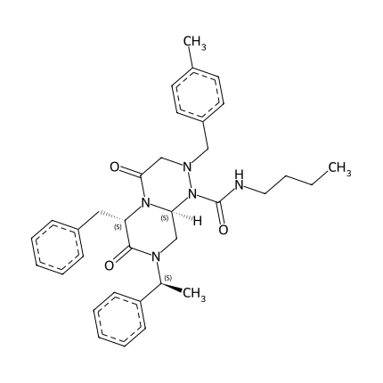 CCCCNC(=O)N1[C@H]2CN([C@@H](C)c3ccccc3)C(=O)[C@H](Cc3ccccc3)N2C(=O)CN1Cc1ccc(C)cc1